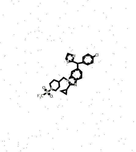 O=S(=O)(N1CCC(Cn2c(C3CC3)nc3ccc(C(c4ccc(Cl)cc4)c4nccs4)cc32)CC1)C(F)(F)F